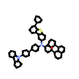 c1ccc(-c2cccc3c2sc2ccc(N(c4ccc(-c5ccc(-n6c7ccccc7c7ccccc76)cc5)cc4)c4ccc(-c5cccc6cccc(-c7ccccc7)c56)cc4)cc23)cc1